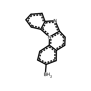 Bc1ccc2c(ccc3nc4ccccc4n32)c1